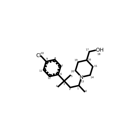 CC(CC(C)(C)c1ccc(Cl)cc1)N1CCC(CO)CC1